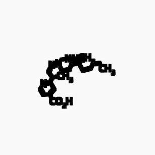 C=C(/C=C\C=C/C)C/C=C\N(CNC)/N=C\C(C)c1cc(C(=O)O)ccn1